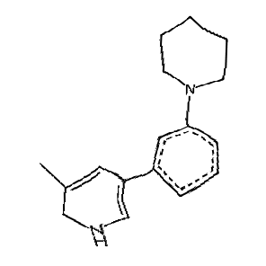 CC1=CC(c2cccc(N3CCCCC3)c2)=CNC1